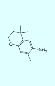 Cc1cc2c(cc1N)C(C)(C)CCO2